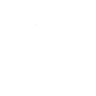 CC#CC1CCC(C2CCC(COC3CCC(CCOC)CC3)CC2)OC1=O